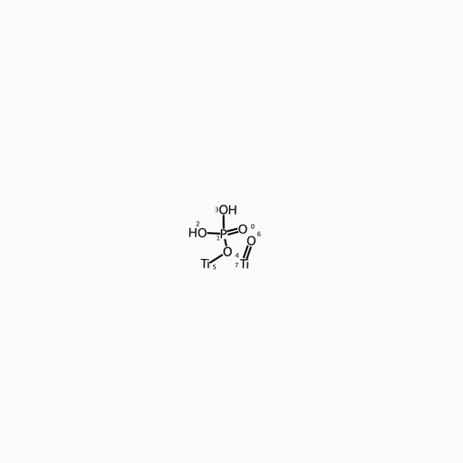 O=P(O)(O)[O][Ti].[O]=[Ti]